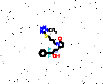 Cn1nnnc1SCCCCN1C(=O)CC[C@@H]1/C=C/C(O)C(F)(F)c1ccccc1